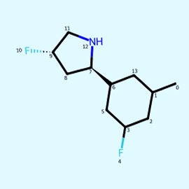 CC1CC(F)CC([C@H]2C[C@H](F)CN2)C1